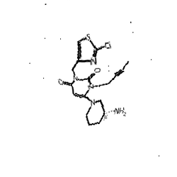 CC#CCn1c(N2CCC[C@@H](N)C2)cc(=O)n(Cc2csc(Cl)n2)c1=O